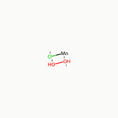 OO.[Cl][Mn]